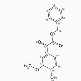 COC1C=C(C(=O)C(=O)OCc2ccccc2)C=CC1O